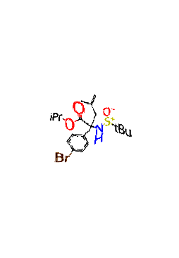 C=C(C)CC(N[S@@+]([O-])C(C)(C)C)(C(=O)OC(C)C)c1ccc(Br)cc1